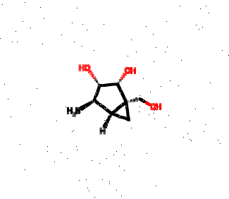 B[C@H]1[C@H](O)[C@H](O)[C@@]2(CO)C[C@H]12